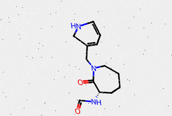 O=[C]N[C@H]1CCCCN(CC2=CC=CNC2)C1=O